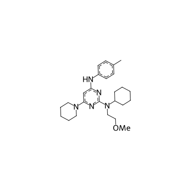 COCCN(c1nc(Nc2ccc(C)cc2)cc(N2CCCCC2)n1)C1CCCCC1